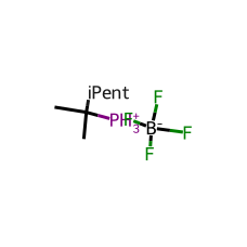 CCCC(C)C(C)(C)[PH3+].F[B-](F)(F)F